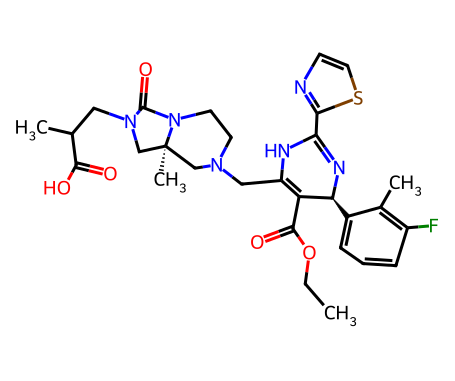 CCOC(=O)C1=C(CN2CCN3C(=O)N(CC(C)C(=O)O)C[C@]3(C)C2)NC(c2nccs2)=N[C@H]1c1cccc(F)c1C